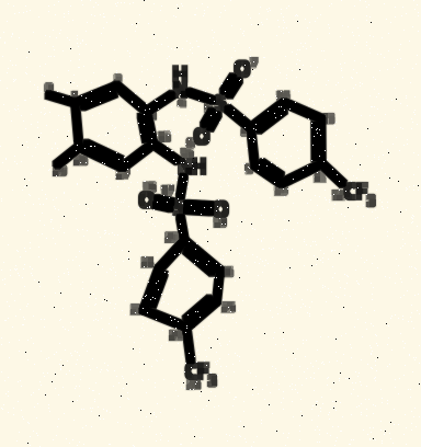 Cc1cc(NS(=O)(=O)c2ccc(C(F)(F)F)cc2)c(NS(=O)(=O)c2ccc(C(F)(F)F)cc2)cc1C